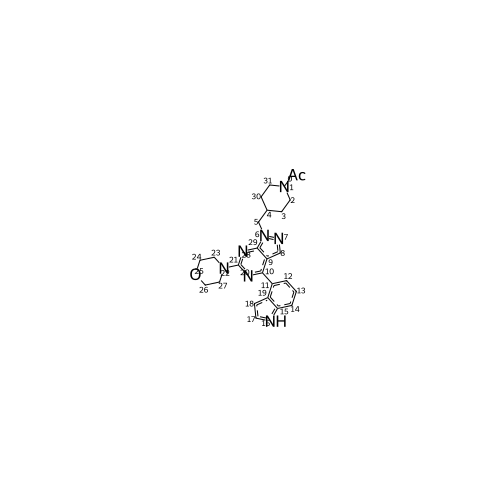 CC(=O)N1CCC(Cn2ncc3c(-c4cccc5[nH]ccc45)nc(N4CCOCC4)nc32)CC1